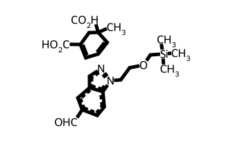 CC1(C(=O)O)C=CC=C(C(=O)O)C1.C[Si](C)(C)COCCn1ncc2cc(C=O)ccc21